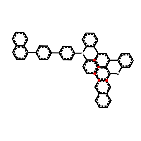 c1ccc2c(c1)Oc1cccc3cc(-c4ccccc4N(c4ccc(-c5ccc(-c6cccc7ccccc67)cc5)cc4)c4ccc(-c5ccc6ccccc6c5)cc4)cc-2c13